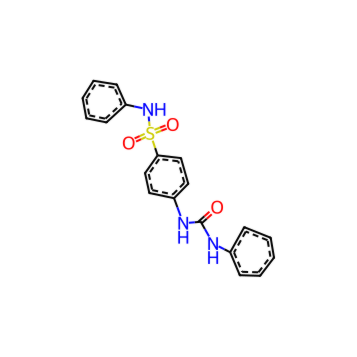 O=C(Nc1ccccc1)Nc1ccc(S(=O)(=O)Nc2ccccc2)cc1